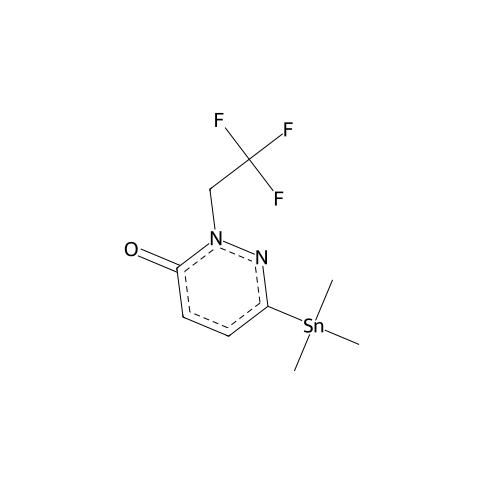 [CH3][Sn]([CH3])([CH3])[c]1ccc(=O)n(CC(F)(F)F)n1